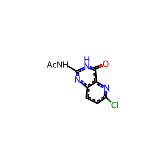 CC(=O)Nc1nc2ccc(Cl)nc2c(=O)[nH]1